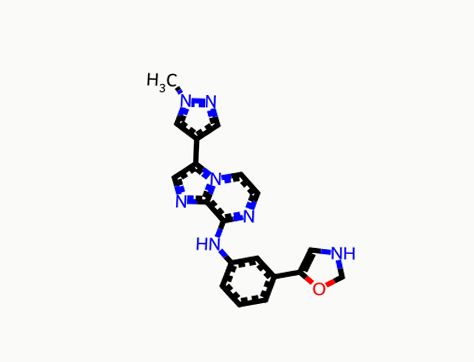 Cn1cc(-c2cnc3c(Nc4cccc(C5=CNCO5)c4)nccn23)cn1